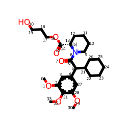 COc1cc(C(C(=O)N2CCCC[C@H]2C(=O)OCCCO)C2CCCCC2)cc(OC)c1OC